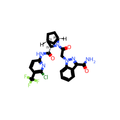 NC(=O)c1nn(CC(=O)N2[C@@H]3CC[C@@H](C3)[C@H]2C(=O)Nc2ccc(C(F)(F)F)c(Cl)n2)c2ccccc12